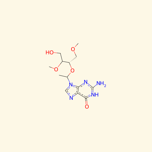 COC[C@H](OC(C)n1cnc2c(=O)[nH]c(N)nc21)C(CO)OC